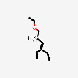 CCOC[SiH2]C=C(CC)CC